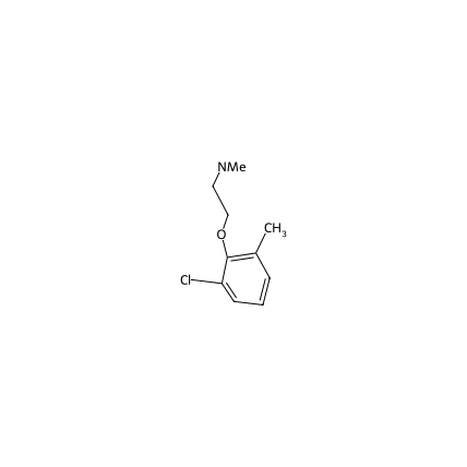 CNCCOc1c(C)cccc1Cl